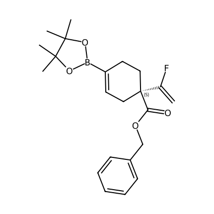 C=C(F)[C@]1(C(=O)OCc2ccccc2)CC=C(B2OC(C)(C)C(C)(C)O2)CC1